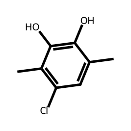 Cc1cc(Cl)c(C)c(O)c1O